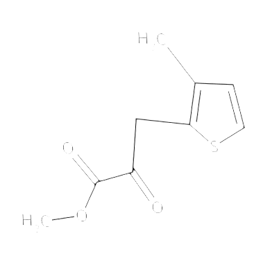 COC(=O)C(=O)Cc1sccc1C